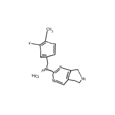 Cc1ccc(Nc2ncc3c(n2)CNC3)cc1F.Cl